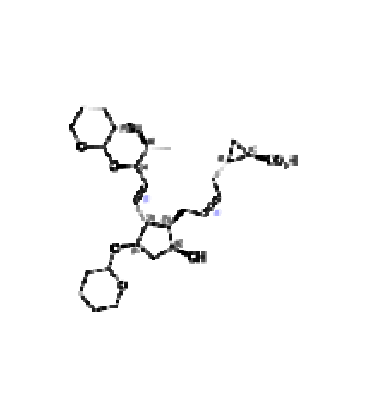 CCCC[C@@H](C)[C@@H](/C=C/[C@@H]1[C@@H](C/C=C\C[C@@H]2C[C@H]2C(=O)O)[C@@H](O)C[C@H]1OC1CCCCO1)OC1CCCCO1